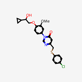 COc1cc(-n2cnc(CSc3ccc(Cl)cc3)cc2=O)ccc1OCC(O)C1CC1